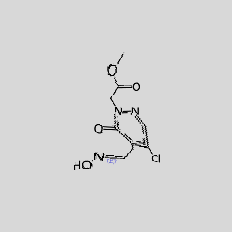 COC(=O)Cn1ncc(Cl)c(/C=N/O)c1=O